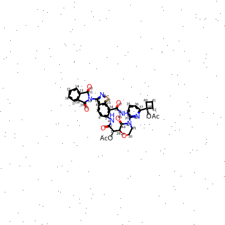 CC(=O)O[C@@H](C(=O)Nc1ccc2c(N3C(=O)c4ccccc4C3=O)nsc2c1C(N)=O)C1OCCN(c2cccc(C3(OC(C)=O)CCC3)n2)C1=O